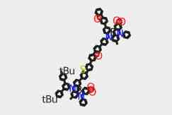 Cc1cc2c3c(c1)N(c1ccccc1)c1cc4c(cc1B3c1cc(-c3ccc5c(c3)oc3ccccc35)ccc1N2c1ccc(-c2ccc3c(c2)oc2cc(-c5ccc6c(c5)sc5cc(-c7ccc8c(c7)B7c9cc%10c(cc9N(c9ccccc9)c9cc(C)cc(c97)N8c7cc(-c8ccc(C(C)(C)C)cc8)cc(-c8ccc(C(C)(C)C)cc8)c7)OCO%10)ccc56)ccc23)cc1)OCO4